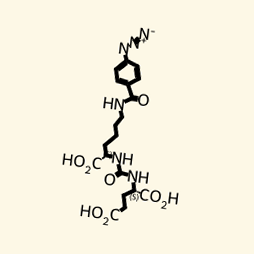 [N-]=[N+]=Nc1ccc(C(=O)NCCCC[C@H](NC(=O)N[C@@H](CCC(=O)O)C(=O)O)C(=O)O)cc1